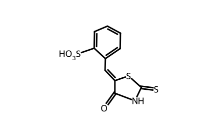 O=C1NC(=S)S/C1=C\c1ccccc1S(=O)(=O)O